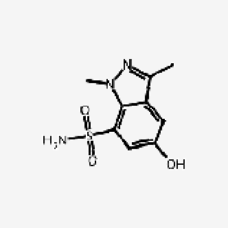 Cc1nn(C)c2c(S(N)(=O)=O)cc(O)cc12